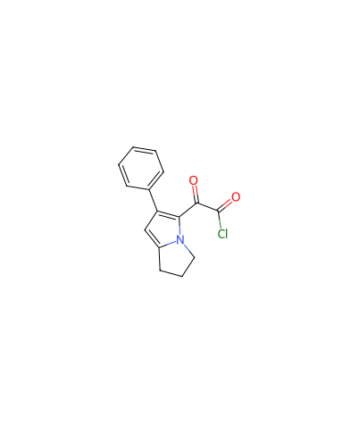 O=C(Cl)C(=O)c1c(-c2ccccc2)cc2n1CCC2